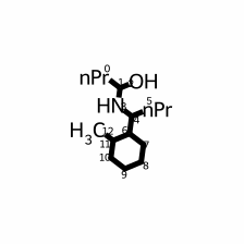 CCCC(O)NC(CCC)C1CCCCC1C